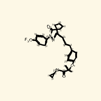 CC(C)(Oc1ccc(CCCC2=NN(c3ccc(C(F)(F)F)cc3)C(=O)C23CCCC3)cc1)C(=O)NC1CC1